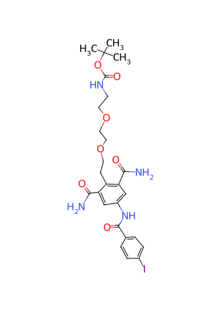 CC(C)(C)OC(=O)NCCOCCOCCc1c(C(N)=O)cc(NC(=O)c2ccc(I)cc2)cc1C(N)=O